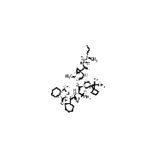 C=C[C@@H]1C[C@]1(NC(=O)[C@@H]1C[C@@]2(CN1C(=O)[C@@H](NC(=O)[C@@H](NC(=O)[C@@H]1CCCCN1C(C)C)C1CCCCC1)C(C)(C)C)C(C)(C)C21CCC1)C(=O)NS(=O)(=O)N(C)CCCl